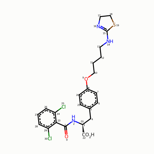 O=C(N[C@@H](Cc1ccc(OCCCCNC2=NCCS2)cc1)C(=O)O)c1c(Cl)cccc1Cl